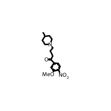 COc1cc(C(=O)CCCN2CCC(C)CC2)ccc1[N+](=O)[O-]